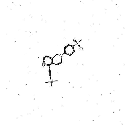 C[Si](C)(C)C#Cc1nccc2c1C=CN(c1ccc(S(C)(=O)=O)cc1)C2